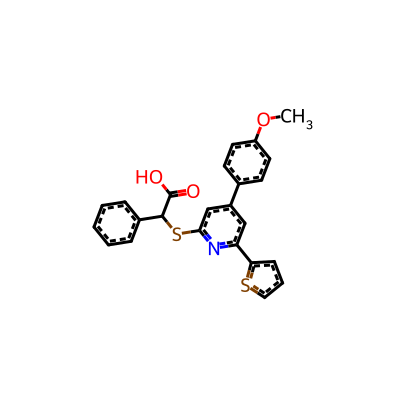 COc1ccc(-c2cc(SC(C(=O)O)c3ccccc3)nc(-c3cccs3)c2)cc1